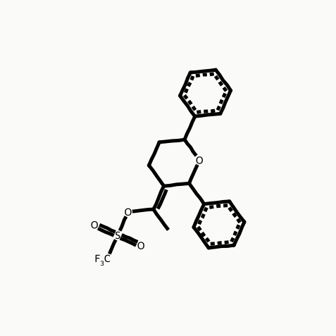 C/C(OS(=O)(=O)C(F)(F)F)=C1/CCC(c2ccccc2)OC1c1ccccc1